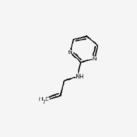 C=CCNc1ncccn1